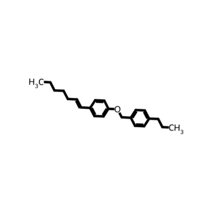 CCCCCC=Cc1ccc(OCc2ccc(CCC)cc2)cc1